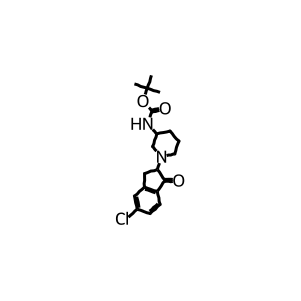 CC(C)(C)OC(=O)NC1CCCN(C2Cc3cc(Cl)ccc3C2=O)C1